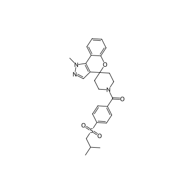 CC(C)CS(=O)(=O)c1ccc(C(=O)N2CCC3(CC2)Oc2ccccc2-c2c3cnn2C)cc1